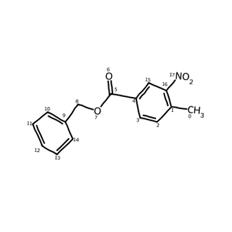 Cc1ccc(C(=O)OCc2ccccc2)cc1[N+](=O)[O-]